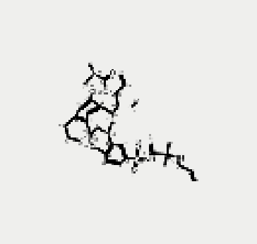 C=CCNC(C)(C)C(=O)NS(=O)(=O)c1ccc2c(c1)N1C[C@@H]([C@@H](CC)[C@@H](C=C)OC(=O)N(C)C)c3cc4c(cc3Cl)CCC[C@@]4(CO2)C1